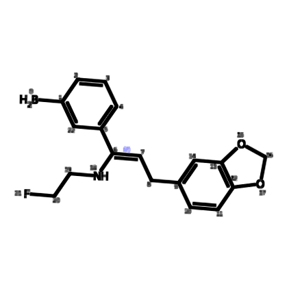 Bc1cccc(/C(=C/Cc2ccc3c(c2)OCO3)NCCF)c1